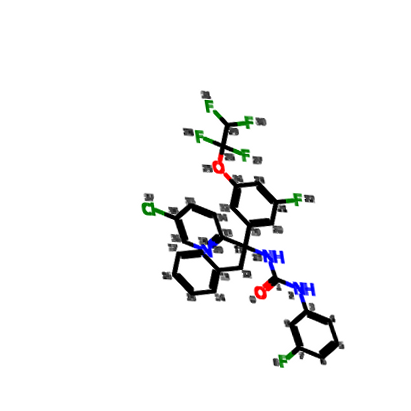 O=C(Nc1cccc(F)c1)NC(Cc1ccccc1)(c1cc(F)cc(OC(F)(F)C(F)F)c1)c1ccc(Cl)cn1